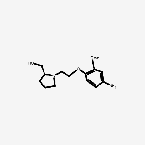 COc1cc(N)ccc1OCCN1CCC[C@H]1CO